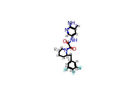 Cc1cc(NC(=O)C(=O)N2C[C@@H](C)CCC2Cc2cc(F)c(F)c(F)c2)cnc1N